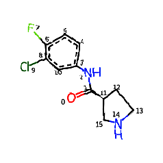 O=C(Nc1ccc(F)c(Cl)c1)[C@H]1CCNC1